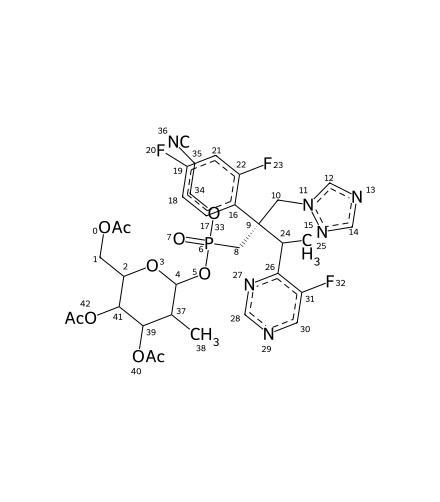 CC(=O)OCC1OC(OP(=O)(C[C@@](Cn2cncn2)(c2ccc(F)cc2F)C(C)c2ncncc2F)OCCC#N)C(C)C(OC(C)=O)C1OC(C)=O